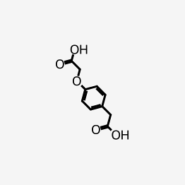 O=C(O)COc1ccc(CC(=O)O)cc1